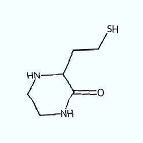 O=C1NCCNC1CCS